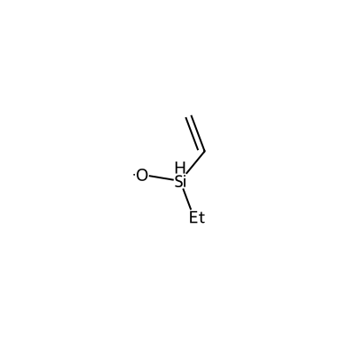 C=C[SiH]([O])CC